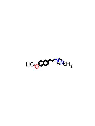 C#COC1=CCC2C=C(CCCN3CCN(C)CC3)C=CC2=C1